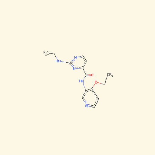 O=C(Nc1cnccc1OCC(F)(F)F)c1ccnc(NCC(F)(F)F)n1